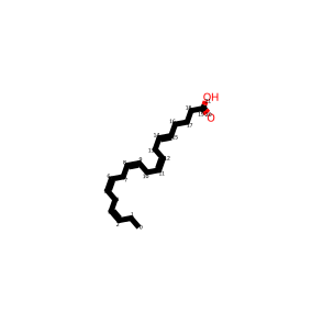 CC/C=C\C/C=C\C/C=C\C/C=C\C/C=C/CCCC(=O)O